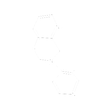 c1cnc2c(c1)OCN(c1ccncc1)C2